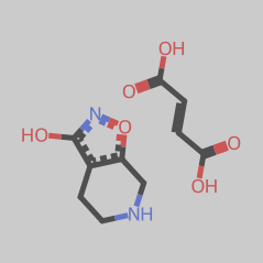 O=C(O)/C=C/C(=O)O.Oc1noc2c1CCNC2